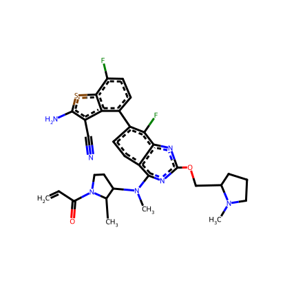 C=CC(=O)N1CCC(N(C)c2nc(OCC3CCCN3C)nc3c(F)c(-c4ccc(F)c5sc(N)c(C#N)c45)ccc23)C1C